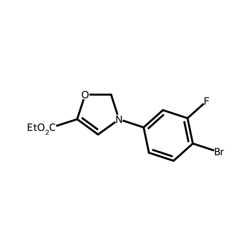 CCOC(=O)C1=CN(c2ccc(Br)c(F)c2)CO1